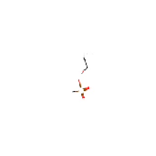 CNCOS(C)(=O)=O